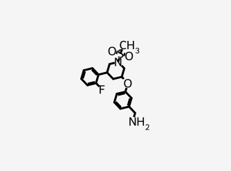 CS(=O)(=O)N1CC(Oc2cccc(CN)c2)CC(c2ccccc2F)C1